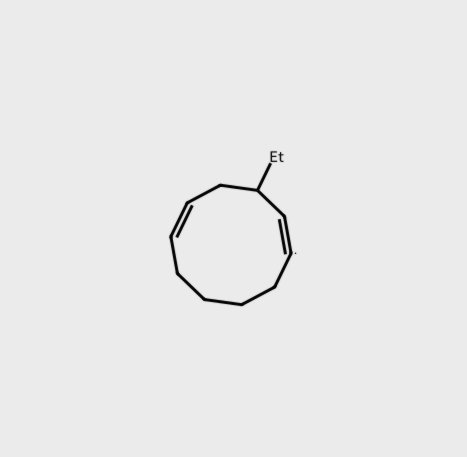 CCC1C=[C]CCCCC=CC1